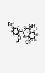 COc1ccc(Br)cc1CCc1c(Cl)cccc1C(N)=S